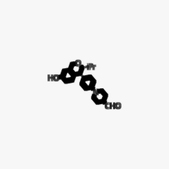 CC(C)[C@H]1OCc2cc(O)ccc2[C@H]1c1ccc(N2CCC(C=O)CC2)cc1